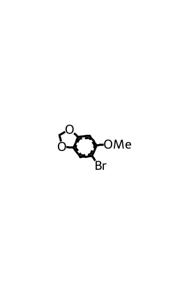 COc1cc2c(cc1Br)OCO2